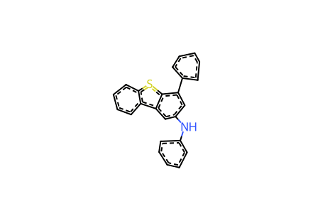 c1ccc(Nc2cc(-c3ccccc3)c3sc4ccccc4c3c2)cc1